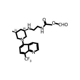 C[C@H]1C[C@@H](NCCNC(=O)COC=O)CN(c2ccc(C(F)(F)F)c3ncccc23)C1